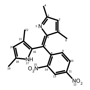 CC1=CC(C)=NC1=C(c1ccc([N+](=O)[O-])cc1[N+](=O)[O-])c1[nH]c(C)cc1C